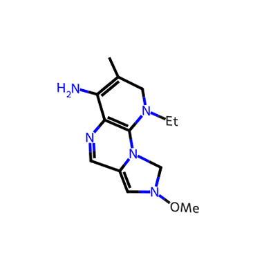 CCN1CC(C)=C(N)C2=C1N1CN(OC)C=C1C=N2